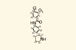 COc1cc(C(=O)Nc2ccc([C@H]3CCCNC3)cc2)ccc1Cl